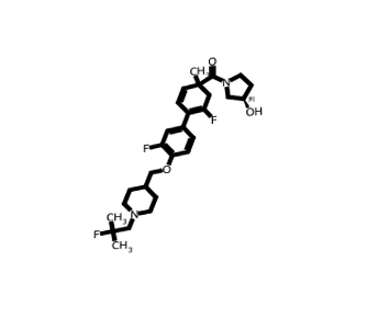 CC(C)(F)CN1CCC(COc2ccc(C3=C(F)CC(C)(C(=O)N4CC[C@@H](O)C4)C=C3)cc2F)CC1